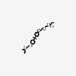 C=CC(=C)OCCOc1ccc(C(C)(C)c2ccc(OCCOCCOC(=O)C=C)cc2)cc1